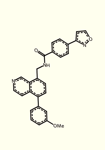 COc1cccc(-c2ccc(CNC(=O)c3ccc(-c4ccon4)cc3)c3cnccc23)c1